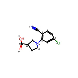 N#Cc1ccc(Cl)cc1N1CCC(C(=O)O)C1